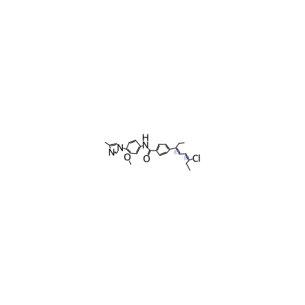 CC/C(Cl)=C\C=C(/CC)c1ccc(C(=O)Nc2ccc(-n3cnc(C)c3)c(OC)c2)cc1